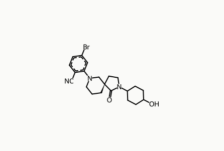 N#Cc1ccc(Br)cc1N1CCC[C@]2(CCN(C3CCC(O)CC3)C2=O)C1